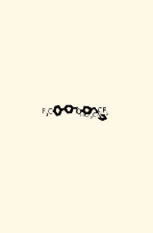 O=C(O)[C@](Cc1ccc(OCc2ccc(-c3ccc(C(F)(F)F)cc3)cc2)cc1)(n1cccc1)C(F)(F)F